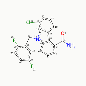 NC(=O)c1cccc2c1c1[c]ccc(Cl)c1n2Cc1cc(F)ccc1F